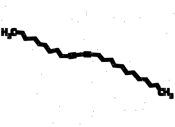 CCCCCCCCCC#CC#CCCCCCCCCCCCC